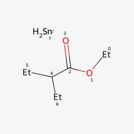 CCOC(=O)C(CC)CC.[SnH2]